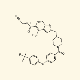 Cc1c(C(=O)NCC#N)ccc2nn(CC3CCN(C(=O)c4ccc(Oc5ccc(C(F)(F)F)cc5)cc4)CC3)cc12